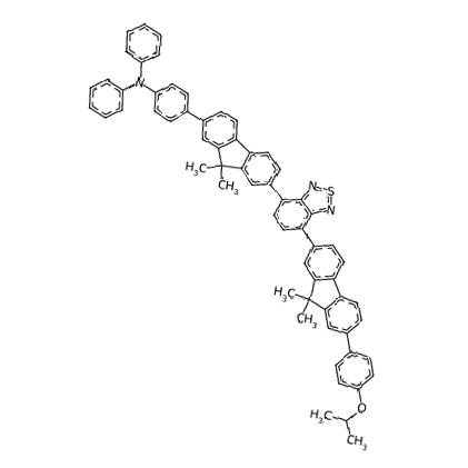 CC(C)Oc1ccc(-c2ccc3c(c2)C(C)(C)c2cc(-c4ccc(-c5ccc6c(c5)C(C)(C)c5cc(-c7ccc(N(c8ccccc8)c8ccccc8)cc7)ccc5-6)c5nsnc45)ccc2-3)cc1